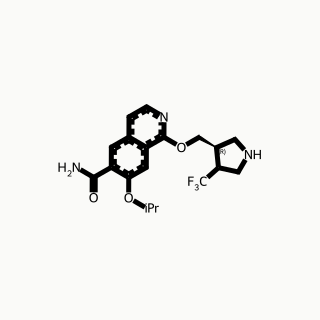 CC(C)Oc1cc2c(OC[C@H]3CNCC3C(F)(F)F)nccc2cc1C(N)=O